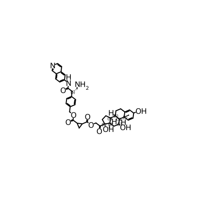 C[C@]12C=CC(O)C=C1CC[C@@H]1[C@@H]2[C@@H](O)C[C@@]2(C)[C@H]1CC[C@]2(O)C(=O)COC(=O)C1CC1C(=O)OCc1ccc([C@@H](CN)C(=O)Nc2ccc3cnccc3c2)cc1